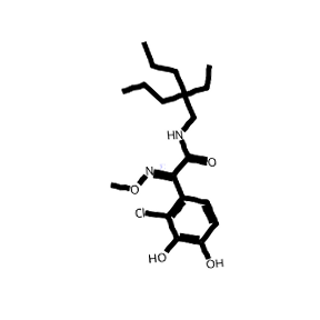 CCCC(CC)(CCC)CNC(=O)/C(=N/OC)c1ccc(O)c(O)c1Cl